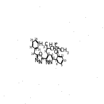 CC(C)Cc1cc(-c2ccccc2OC(C)C)nnc1-c1nnc(Cc2ccccc2)o1